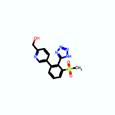 CS(=O)(=O)c1cccc(-c2ccc(CO)nc2)c1-c1nnn[nH]1